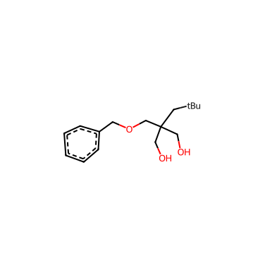 CC(C)(C)CC(CO)(CO)COCc1ccccc1